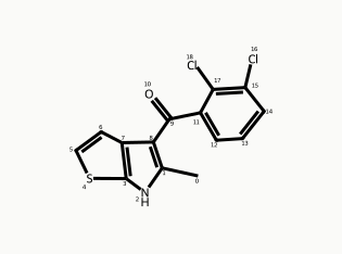 Cc1[nH]c2sccc2c1C(=O)c1cccc(Cl)c1Cl